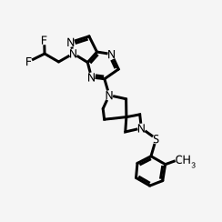 Cc1ccccc1SN1CC2(CCN(c3cnc4cnn(CC(F)F)c4n3)C2)C1